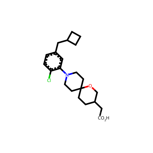 O=C(O)CC1CCC2(CCN(c3cc(CC4CCC4)ccc3Cl)CC2)OC1